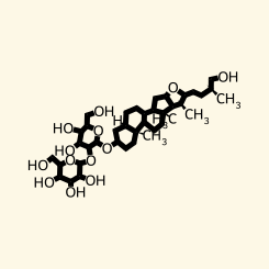 C[C@H](CO)CCC1OC2CC3C4CC[C@@H]5CC(OC6OC(CO)C(O)C(O)C6OC6OC(CO)C(O)C(O)C6O)CC[C@]5(C)C4CC[C@]3(C)C2[C@@H]1C